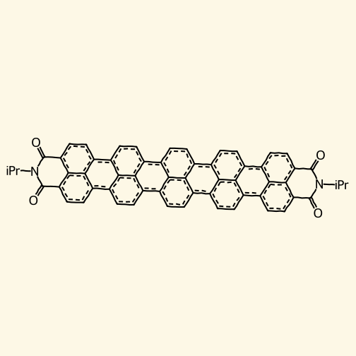 CC(C)N1C(=O)c2ccc3c4ccc5c6ccc7c8ccc9c%10ccc%11c%12c(ccc(c%13ccc(c%14ccc(c%15ccc(c%16ccc(c2c3%16)C1=O)c4c5%15)c6c7%14)c8c9%13)c%12%10)C(=O)N(C(C)C)C%11=O